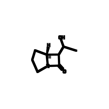 CC(O)C1C(=O)N2CCC[C@H]12